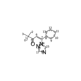 CC(C)(C)C(=O)C=C(c1ccccc1)n1cncn1